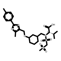 Cc1ccc(-c2nc(COC3CCCC(CN([C@H](C(=O)O)C(C)C)S(=O)(=O)CS(C)(=O)=O)C3)c(C)o2)cc1